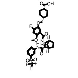 COc1cc(F)c(OC[C@H]2CC[C@@H](C(=O)O)CC2)cc1C(=O)N[C@@H]1[C@H]2CC[C@H](C2)[C@@H]1C(=O)Nc1cccc(S(=O)(=O)C(F)(F)F)c1